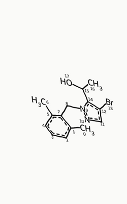 Cc1cccc(C)c1Cn1ncc(Br)c1C(C)O